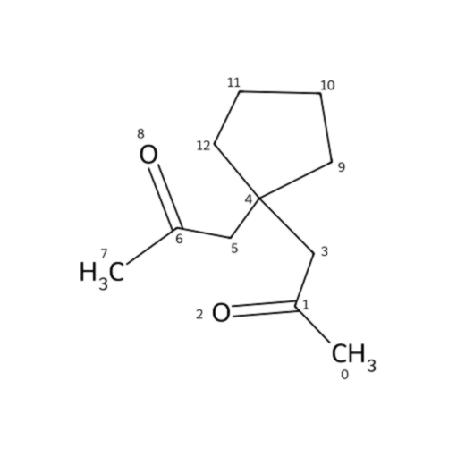 CC(=O)CC1(CC(C)=O)CCCC1